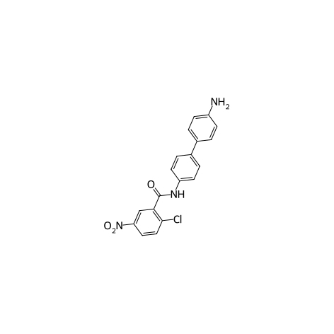 Nc1ccc(-c2ccc(NC(=O)c3cc([N+](=O)[O-])ccc3Cl)cc2)cc1